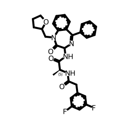 C[C@H](NC(=O)Cc1cc(F)cc(F)c1)C(=O)NC1N=C(c2ccccc2)c2ccccc2N(CC2CCCO2)C1=O